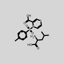 CC(C)CC(N)C(=O)O.Cc1ccc(S(=O)(=O)N2C=CSC=C2C(=O)O)cc1